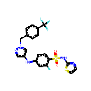 O=S(=O)(Nc1nccs1)c1ccc(Nc2cnn(Cc3ccc(C(F)(F)F)cc3)c2)cc1F